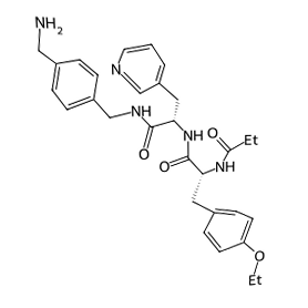 CCOc1ccc(C[C@@H](NC(=O)CC)C(=O)N[C@@H](Cc2cccnc2)C(=O)NCc2ccc(CN)cc2)cc1